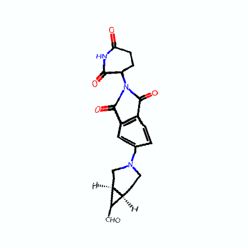 O=CC1[C@H]2CN(c3ccc4c(c3)C(=O)N(C3CCC(=O)NC3=O)C4=O)C[C@@H]12